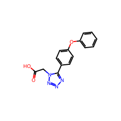 O=C(O)Cn1nnnc1-c1ccc(Oc2ccccc2)cc1